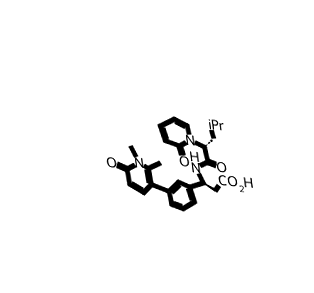 Cc1c(-c2cccc([C@H](CC(=O)O)NC(=O)[C@@H](CC(C)C)n3ccccc3=O)c2)ccc(=O)n1C